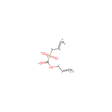 C=CCOC(=O)S(=O)(=O)CC=C